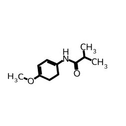 COC1=CC=C(NC(=O)C(C)C)CC1